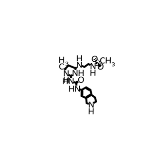 CC1CC(NCCNS(C)(=O)=O)NC(NC(=O)Nc2ccc3c(c2)CNCC3)N1